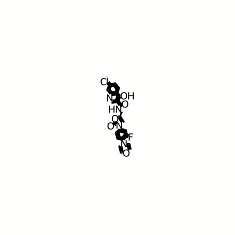 O=C(NC[C@H]1CN(c2ccc(N3CCOCC3)c(F)c2)C(=O)O1)c1cnc2c(c1O)C=CC(Cl)C2